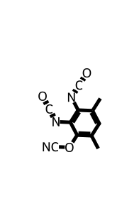 Cc1cc(C)c(OC#N)c(N=C=O)c1N=C=O